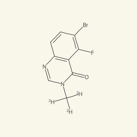 [2H]C([2H])([2H])n1cnc2ccc(Br)c(F)c2c1=O